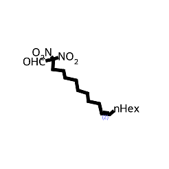 CCCCCC/C=C\CCCCCCCCC([C]=O)([N+](=O)[O-])[N+](=O)[O-]